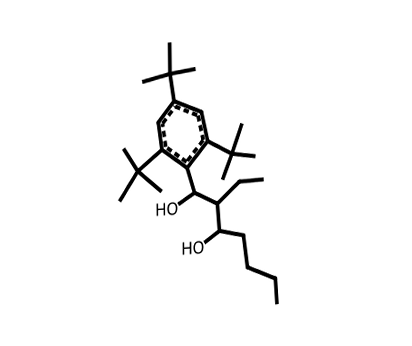 CCCCC(O)C(CC)C(O)c1c(C(C)(C)C)cc(C(C)(C)C)cc1C(C)(C)C